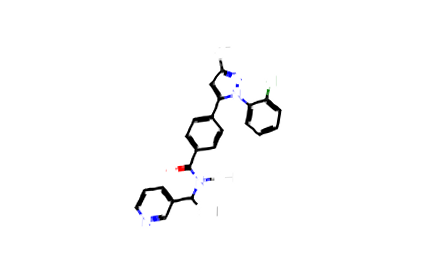 CC(c1cccnc1)N(C)C(=O)c1ccc(-c2cc(C(F)(F)F)nn2-c2ccccc2Cl)cc1